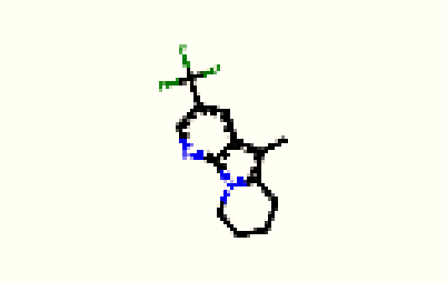 Cc1c2n(c3ncc(C(F)(F)F)cc13)CCCC2